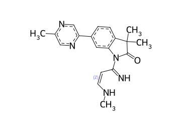 CN/C=C\C(=N)N1C(=O)C(C)(C)c2ccc(-c3cnc(C)cn3)cc21